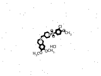 COc1ccc(S(=O)(=O)N2CCC(CN3CCc4cc(OC)c(OC)cc4C3)CC2)cc1Cl.Cl